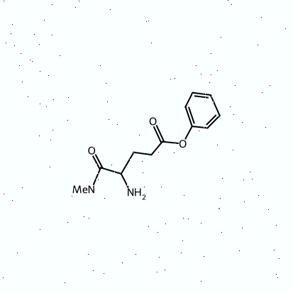 CNC(=O)C(N)CCC(=O)Oc1ccccc1